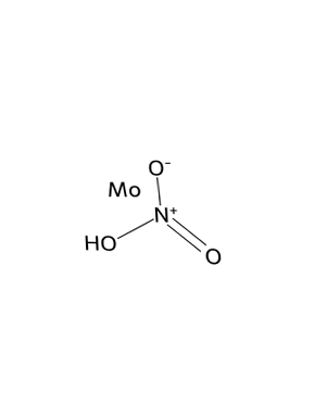 O=[N+]([O-])O.[Mo]